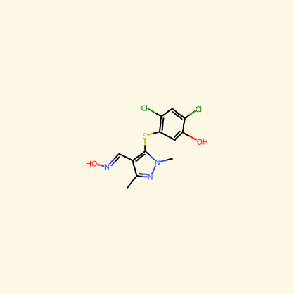 Cc1nn(C)c(Sc2cc(O)c(Cl)cc2Cl)c1C=NO